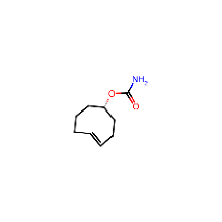 NC(=O)O[C@@H]1CC/C=C/CCC1